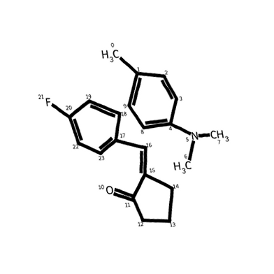 Cc1ccc(N(C)C)cc1.O=C1CCCC1=Cc1ccc(F)cc1